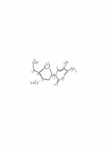 Nc1nc(=O)n([C@H]2C[C@H](O)[C@@H](CO)O2)cc1Br